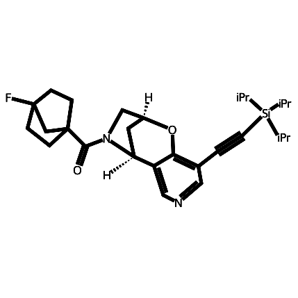 CC(C)[Si](C#Cc1cncc2c1O[C@H]1C[C@@H]2N(C(=O)C23CCC(F)(CC2)C3)C1)(C(C)C)C(C)C